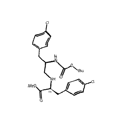 COC(=O)[C@H](Cc1ccc(Cl)cc1)NCC(Cc1ccc(Cl)cc1)NC(=O)OC(C)(C)C